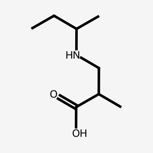 CCC(C)NCC(C)C(=O)O